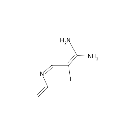 C=C/N=C\C(I)=C(N)N